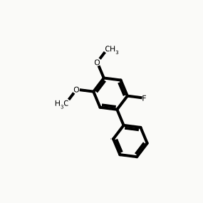 COc1cc(F)c(-c2[c]cccc2)cc1OC